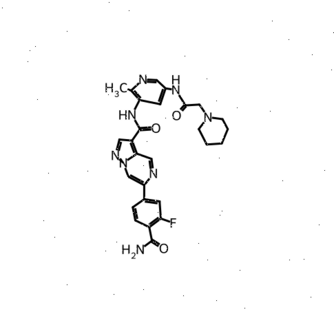 Cc1ncc(NC(=O)CN2CCCCC2)cc1NC(=O)c1cnn2cc(-c3ccc(C(N)=O)c(F)c3)ncc12